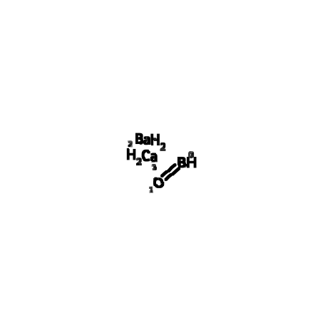 B=O.[BaH2].[CaH2]